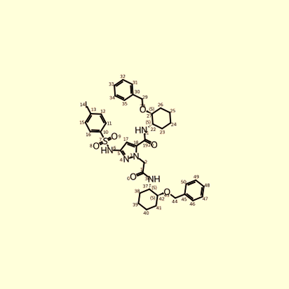 O=C(Cn1nc(NS(=O)(=O)c2ccc(I)cc2)cc1C(=O)N[C@H]1CCCC[C@@H]1OCc1ccccc1)N[C@H]1CCCC[C@@H]1OCc1ccccc1